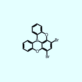 Brc1cc(Br)c2c3c1Oc1ccccc1B3c1ccccc1O2